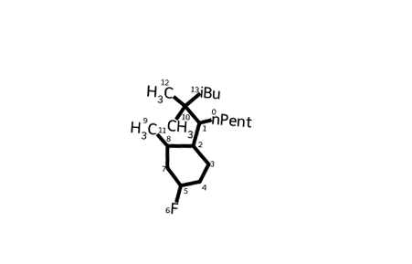 CCCCCC(C1CCC(F)CC1C)C(C)(C)C(C)CC